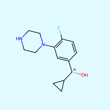 O[C@@H](c1ccc(F)c(N2CCNCC2)c1)C1CC1